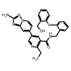 CCc1ncc(-c2ccn3nc(N)nc3c2)cc1C(=O)NCc1ccccc1Sc1ccccc1CO